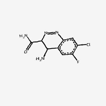 NC(=O)C1N=Nc2cc(Cl)c(F)cc2C1N